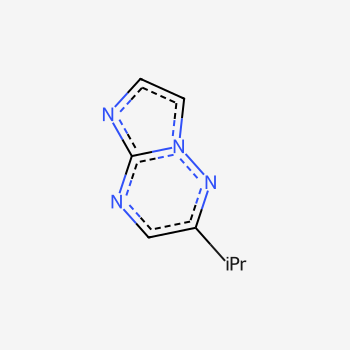 CC(C)c1cnc2nccn2n1